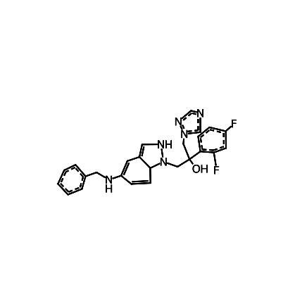 OC(CN1NC=C2C=C(NCc3ccccc3)C=CC21)(Cn1cncn1)c1ccc(F)cc1F